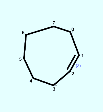 [CH]1/C=C\[CH]CCCC1